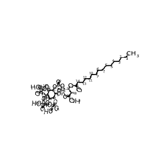 CCCCCCCCCCCCCCCC(=O)O[C@@H](COP(=O)(O)OC1C(O)[C@H](OP(=O)(O)O)[C@H](OP(=O)(O)O)C(OP(=O)(O)O)[C@@H]1O)CC(=O)O